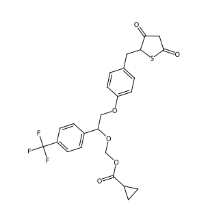 O=C1CC(=O)C(Cc2ccc(OCC(OCOC(=O)C3CC3)c3ccc(C(F)(F)F)cc3)cc2)S1